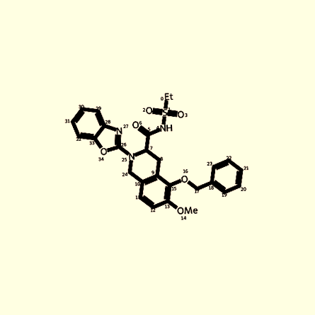 CCS(=O)(=O)NC(=O)C1Cc2c(ccc(OC)c2OCc2ccccc2)CN1c1nc2ccccc2o1